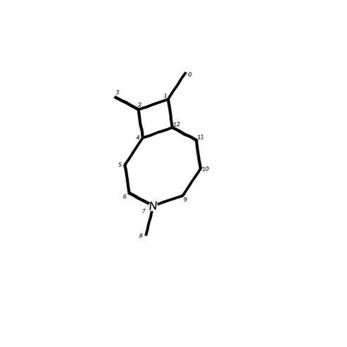 CC1C(C)C2CCN(C)CCCC12